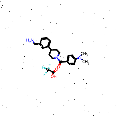 CN(C)c1ccc(C(=O)N2CCC(c3cccc(CN)c3)CC2)cc1.O=C(O)C(F)(F)F